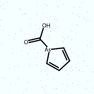 O=C(O)[As]1C=CC=C1